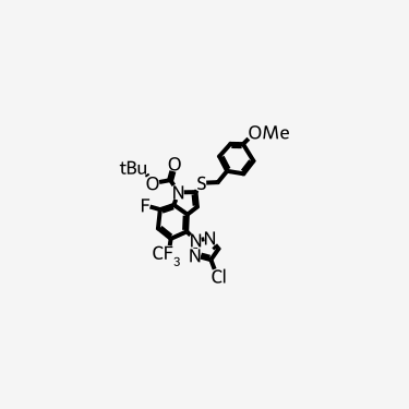 COc1ccc(CSc2cc3c(-n4ncc(Cl)n4)c(C(F)(F)F)cc(F)c3n2C(=O)OC(C)(C)C)cc1